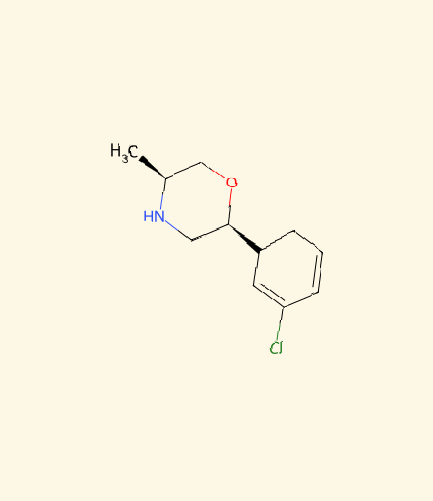 C[C@H]1CO[C@@H](C2C=C(Cl)C=CC2)CN1